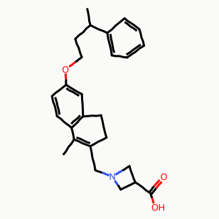 CC1=C(CN2CC(C(=O)O)C2)CCc2cc(OCCC(C)c3ccccc3)ccc21